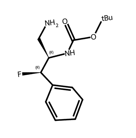 CC(C)(C)OC(=O)N[C@H](CN)[C@H](F)c1ccccc1